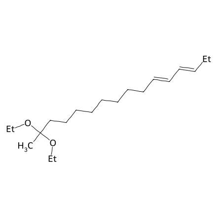 [CH2]CC=CC=CCCCCCCCCC(C)(OCC)OCC